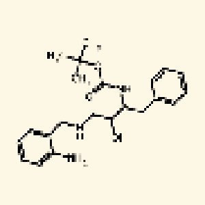 CC(C)(C)OC(=O)NC(Cc1ccccc1)C(O)CNCc1ccccc1N